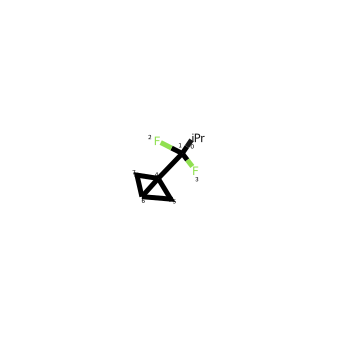 CC(C)C(F)(F)C12CC1C2